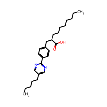 CCCCCCCC[C@H](Cc1ccc(-c2ncc(CCCCC)cn2)cc1)C(=O)O